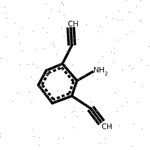 C#Cc1cccc(C#C)c1N